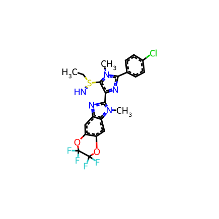 CCS(=N)c1c(-c2nc3cc4c(cc3n2C)OC(F)(F)C(F)(F)O4)nc(-c2ccc(Cl)cc2)n1C